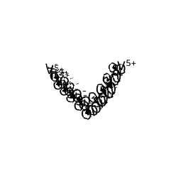 O=[Si]([O-])[O-].O=[Si]([O-])[O-].O=[Si]([O-])[O-].O=[Si]([O-])[O-].O=[Si]([O-])[O-].O=[Si]([O-])[O-].O=[Si]([O-])[O-].O=[Si]([O-])[O-].O=[Si]([O-])[O-].[Ti+4].[Ti+4].[V+5].[V+5]